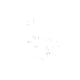 C/C=C/CNC(=O)CC1(O)C2CC1CC(S(=O)(=O)c1cc(C(=O)Nc3cc(F)c(F)c(F)c3)ccc1Cl)C2